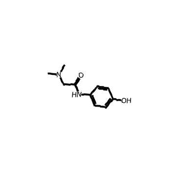 CN(C)CC(=O)Nc1ccc(O)cc1